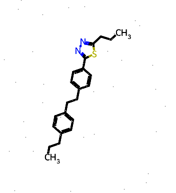 CCCc1ccc(CCc2ccc(-c3nnc(CCC)s3)cc2)cc1